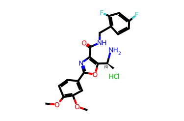 COc1ccc(-c2nc(C(=O)NCc3ccc(F)cc3F)c([C@H](C)N)o2)cc1OC.Cl